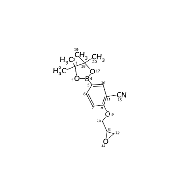 CC1(C)OB(c2ccc(OCC3CO3)c(C#N)c2)OC1(C)C